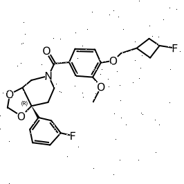 COc1cc(C(=O)N2CC[C@]3(c4cccc(F)c4)OCOC3C2)ccc1OCC1CC(F)C1